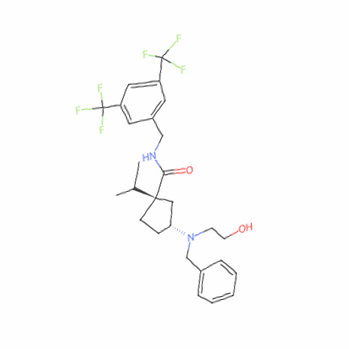 CC(C)[C@]1(C(=O)NCc2cc(C(F)(F)F)cc(C(F)(F)F)c2)CC[C@@H](N(CCO)Cc2ccccc2)C1